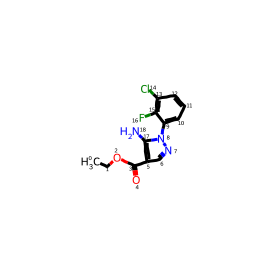 CCOC(=O)c1cnn(-c2cccc(Cl)c2F)c1N